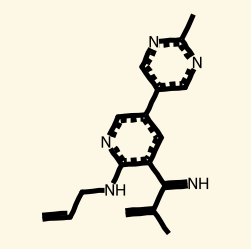 C=CCNc1ncc(-c2cnc(C)nc2)cc1C(=N)C(=C)C